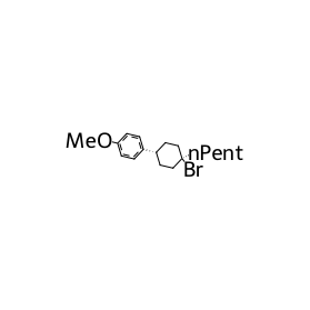 CCCCC[C@]1(Br)CC[C@H](c2ccc(OC)cc2)CC1